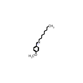 CCCCCCCC/N=C/c1ccc(OC)cc1